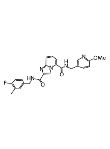 COc1ccc(CNC(=O)c2cccc3nc(C(=O)NCc4ccc(F)c(C)c4)cn23)cn1